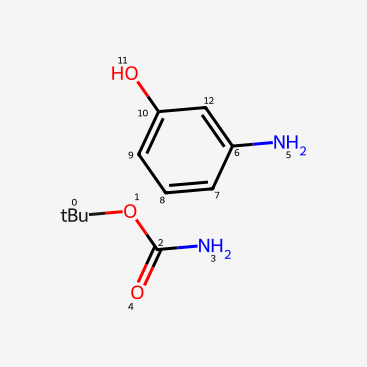 CC(C)(C)OC(N)=O.Nc1cccc(O)c1